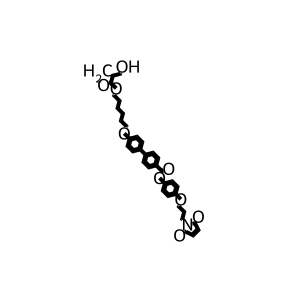 C=C(CO)C(=O)OCCCCCCOc1ccc(-c2ccc(C(=O)Oc3ccc(OCCCN4C(=O)C=CC4=O)cc3)cc2)cc1